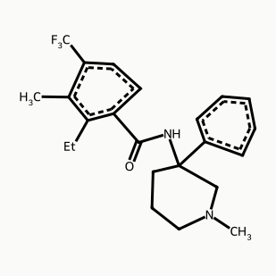 CCc1c(C(=O)NC2(c3ccccc3)CCCN(C)C2)ccc(C(F)(F)F)c1C